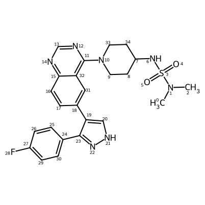 CN(C)S(=O)(=O)NC1CCN(c2ncnc3ccc(-c4c[nH]nc4-c4ccc(F)cc4)cc23)CC1